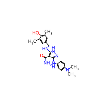 Cc1cc(CNc2[nH]nc(Nc3ccc(N(C)C)cc3)c2C(N)=O)cc(C)c1O